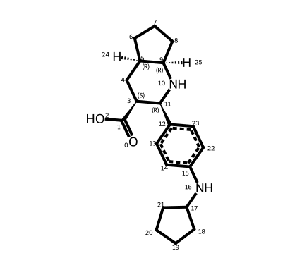 O=C(O)[C@H]1C[C@H]2CCC[C@H]2N[C@H]1c1ccc(NC2CCCC2)cc1